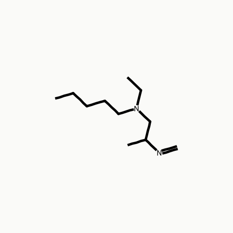 C=NC(C)CN(CC)CCCCC